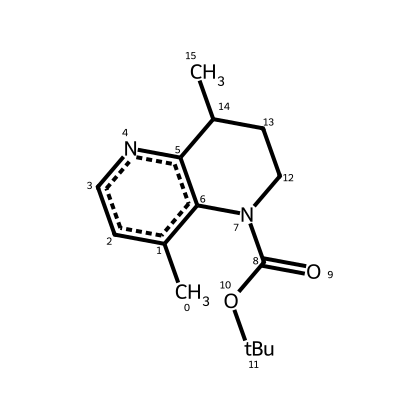 Cc1ccnc2c1N(C(=O)OC(C)(C)C)CCC2C